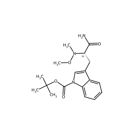 CON(C)[C@@H](Cc1cn(C(=O)OC(C)(C)C)c2ccccc12)C(N)=O